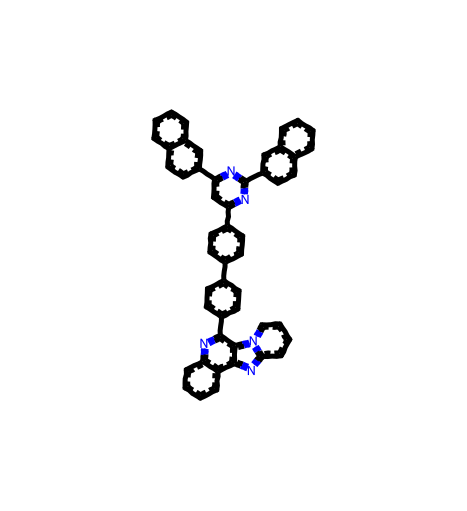 c1ccc2cc(-c3cc(-c4ccc(-c5ccc(-c6nc7ccccc7c7nc8ccccn8c67)cc5)cc4)nc(-c4ccc5ccccc5c4)n3)ccc2c1